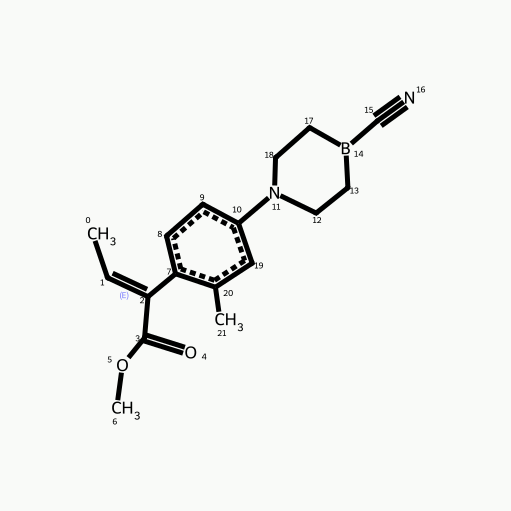 C/C=C(/C(=O)OC)c1ccc(N2CCB(C#N)CC2)cc1C